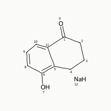 O=C1CCCc2c(O)cccc21.[NaH]